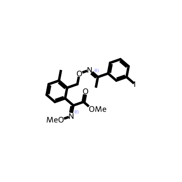 CO/N=C(/C(=O)OC)c1cccc(C)c1CO/N=C(\C)c1cccc(I)c1